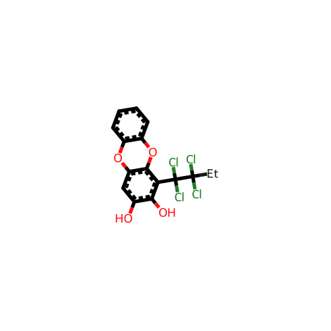 CCC(Cl)(Cl)C(Cl)(Cl)c1c(O)c(O)cc2c1Oc1ccccc1O2